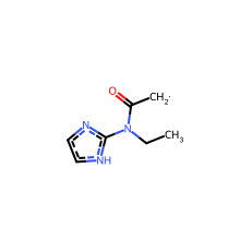 [CH2]C(=O)N(CC)c1ncc[nH]1